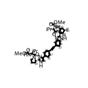 COC(=O)N[C@H](C(=O)N1CCC[C@H]1c1nc(-c2ccc(C#Cc3ccc4[nH]c([C@@H]5[C@@H]6C[C@@H](C[C@@H]6F)N5C(=O)[C@@H](NC(=O)OC)C(C)C)nc4c3)cc2)c[nH]1)C(C)C